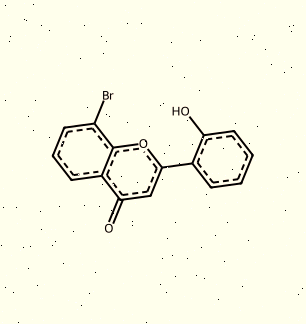 O=c1cc(-c2ccccc2O)oc2c(Br)cccc12